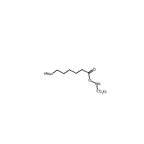 CCCCCCCCCCCCCCC(=O)ONC(=O)OCC